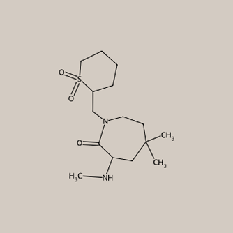 CNC1CC(C)(C)CCN(CC2CCCCS2(=O)=O)C1=O